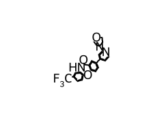 O=C1Nc2cc(C(F)(F)F)ccc2Oc2ccc(-c3ccnc(N4CCOCC4)c3)cc21